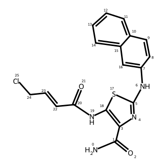 NC(=O)c1nc(Nc2ccc3ccccc3c2)sc1NC(=O)C=CCCl